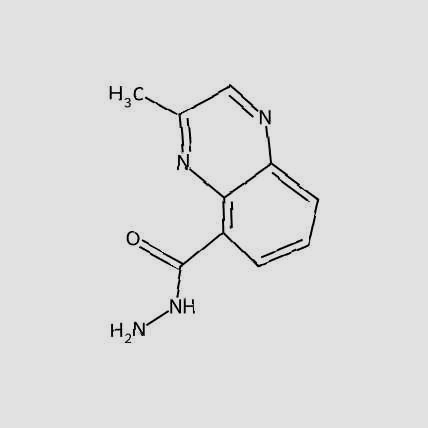 Cc1cnc2cccc(C(=O)NN)c2n1